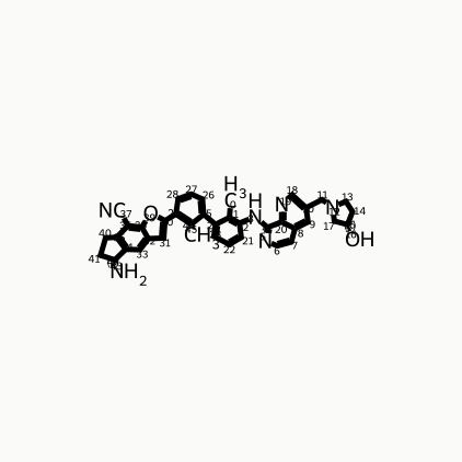 Cc1c(Nc2nccc3cc(CN4CC[C@@H](O)C4)cnc23)cccc1-c1cccc(-c2cc3cc4c(c(C#N)c3o2)CC[C@@H]4N)c1C